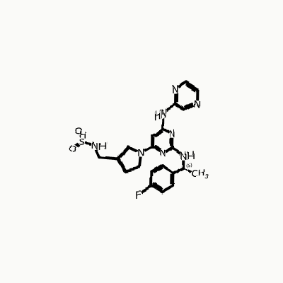 C[C@H](Nc1nc(Nc2cnccn2)cc(N2CCC(CN[SH](=O)=O)C2)n1)c1ccc(F)cc1